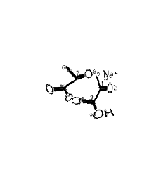 CC(=O)C(=O)O.CC(=O)C(=O)[O-].[Na+]